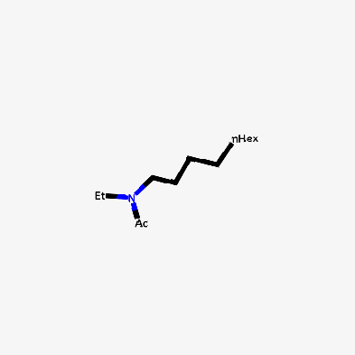 CCCCCCCCCCN(CC)C(C)=O